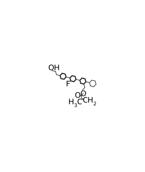 C=C(C)C(=O)OCCc1cc(-c2ccc(-c3ccc(CCCO)cc3)c(F)c2)ccc1C1CCCCC1